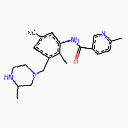 Cc1ccc(C(=O)Nc2cc(C#N)cc(CN3CCNC(C)C3)c2C)cn1